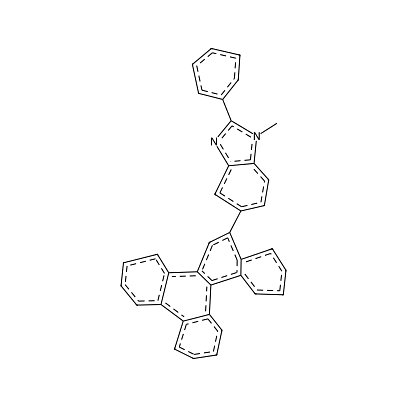 Cn1c(-c2ccccc2)nc2cc(-c3cc4c5ccccc5c5ccccc5c4c4ccccc34)ccc21